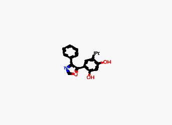 CC(C)c1cc(-c2ocnc2-c2ccccc2)c(O)cc1O